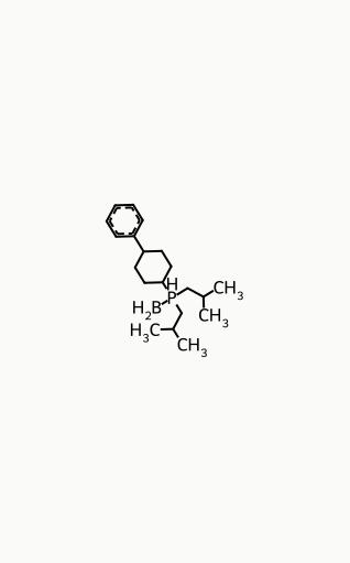 B[PH](CC(C)C)(CC(C)C)C1CCC(c2ccccc2)CC1